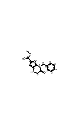 COC(=O)c1cc2c(s1)N(Cc1ccccc1)C(=O)CS2